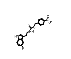 O=C(NCCc1c[nH]c2ccc(F)cc12)OCc1ccc([N+](=O)[O-])cc1